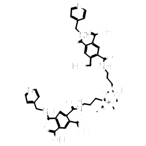 CO[SiH](CCCNC(=O)c1cc(C(=O)O)c(C(=O)NCc2ccncc2)cc1C(=O)O)O[Si](CCCNC(=O)c1cc(C(=O)NCc2ccncc2)c(C(=O)O)cc1C(=O)O)(OC)OC